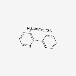 C=C=C.c1ccc(-c2ccccn2)cc1